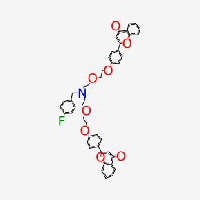 O=c1cc(-c2ccc(OCCOCCN(CCOCCOc3ccc(-c4cc(=O)c5ccccc5o4)cc3)Cc3ccc(F)cc3)cc2)oc2ccccc12